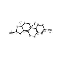 C[C@]12CC[C@H]3C(=C1C[C@@H](O)C2)CCc1cc(O)ccc13